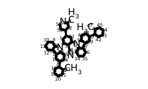 Cc1cc(-c2cc(-n3c4ccccc4c4cc(-c5ccccc5C)ccc43)c(C#N)c(-n3c4ccccc4c4cc(-c5ccccc5C)ccc43)c2)ccn1